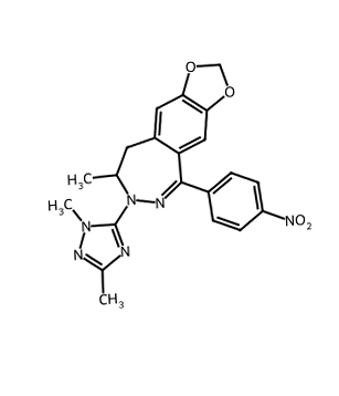 Cc1nc(N2N=C(c3ccc([N+](=O)[O-])cc3)c3cc4c(cc3CC2C)OCO4)n(C)n1